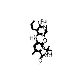 C/C=C\c1c(CCCC)ncnc1Nc1cc(C)c2n(c1=O)C(C)(C)NC2=O